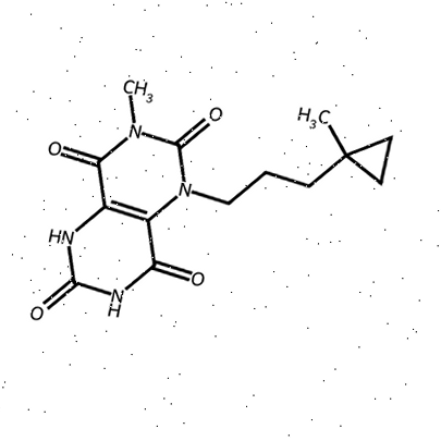 Cn1c(=O)c2[nH]c(=O)[nH]c(=O)c2n(CCCC2(C)CC2)c1=O